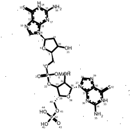 COP(=O)(OC[C@H]1O[C@@H](n2cnc3c(=S)[nH]c(N)nc32)CC1O)OC1C(O)[C@H](n2cnc3c(=S)[nH]c(N)nc32)O[C@@H]1COP(=O)(O)O